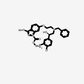 COc1nn(C(=O)OC(C)(C)C)c2cc(OCCN(Cc3ccccc3)C[C@H](O)c3ccc(Cl)c(N)c3)ccc12